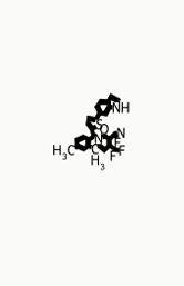 Cc1ccc(C(c2ccc(-c3ccc4cc[nH]c4c3)s2)n2ccc(C(F)(F)F)c(C#N)c2=O)c(C)c1